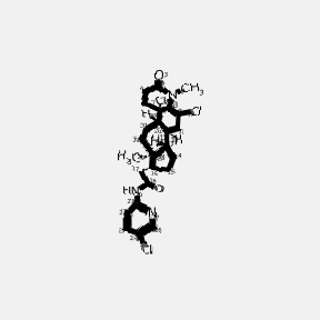 CN1C(=O)CC[C@@]2(C)C1=C(Cl)C[C@H]1[C@@H]3CC[C@H](CC(=O)Nc4ccc(Cl)cn4)[C@@]3(C)CC[C@@H]12